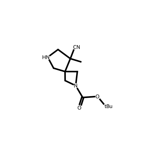 CC(C)(C)OC(=O)N1CC2(CNCC2(C)C#N)C1